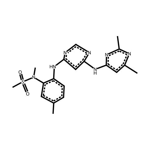 Cc1ccc(Nc2cc(Nc3cc(C)nc(C)n3)ncn2)c(N(C)S(C)(=O)=O)c1